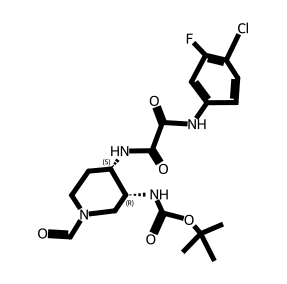 CC(C)(C)OC(=O)N[C@@H]1CN(C=O)CC[C@@H]1NC(=O)C(=O)Nc1ccc(Cl)c(F)c1